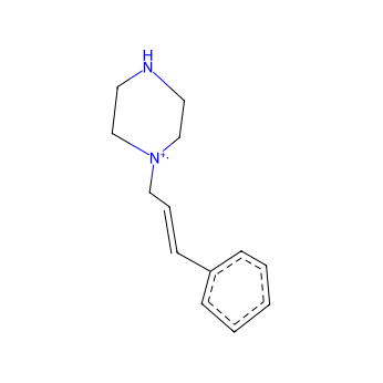 C(=Cc1ccccc1)C[N+]1CCNCC1